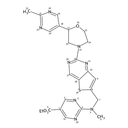 CCOC(=O)c1cnc(N(C)Cc2cc3nc(N4CCOC(c5cnc(C)nc5)C4)ncc3s2)nc1